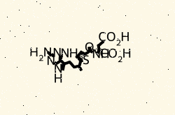 CC(CCc1c[nH]c2nc(N)nc(N)c12)c1ccc(C(=O)N[C@@H](CCC(=O)O)C(=O)O)s1